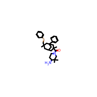 CC1(CSc2ccccc2)CC2CC(C)(C(=O)N3CCC(N)C(C)(C)C3)CC(c3ccccc3)(C2)C1